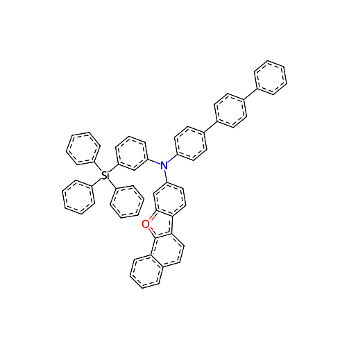 c1ccc(-c2ccc(-c3ccc(N(c4cccc([Si](c5ccccc5)(c5ccccc5)c5ccccc5)c4)c4ccc5c(c4)oc4c6ccccc6ccc54)cc3)cc2)cc1